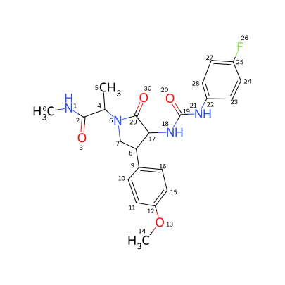 CNC(=O)C(C)N1CC(c2ccc(OC)cc2)C(NC(=O)Nc2ccc(F)cc2)C1=O